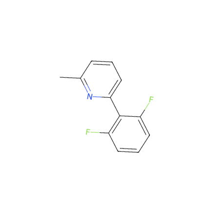 Cc1cccc(-c2c(F)cccc2F)n1